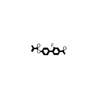 C=C(C)C(=O)Oc1ccc(-c2ccc(C(C)=O)cc2F)cc1